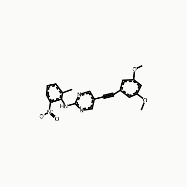 COc1cc(C#Cc2cnc(Nc3c(C)cccc3[N+](=O)[O-])nc2)cc(OC)c1